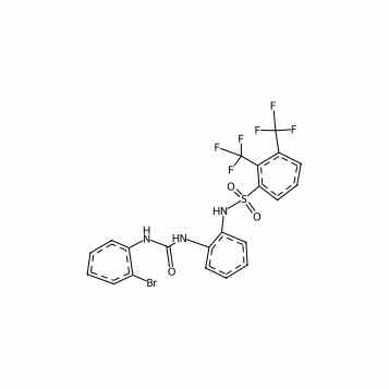 O=C(Nc1ccccc1Br)Nc1ccccc1NS(=O)(=O)c1cccc(C(F)(F)F)c1C(F)(F)F